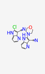 N#Cc1c(Cl)[nH]c2cccnc12.N#Cc1c(N2CCOCC2)[nH]c2cccnc12